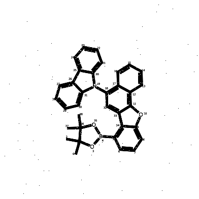 CC1(C)OB(c2cccc3oc4c5ccccc5c(-n5c6ccccc6c6ccccc65)cc4c23)OC1(C)C